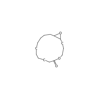 O=C1CCCCCCCCCC2OC2CCCO1